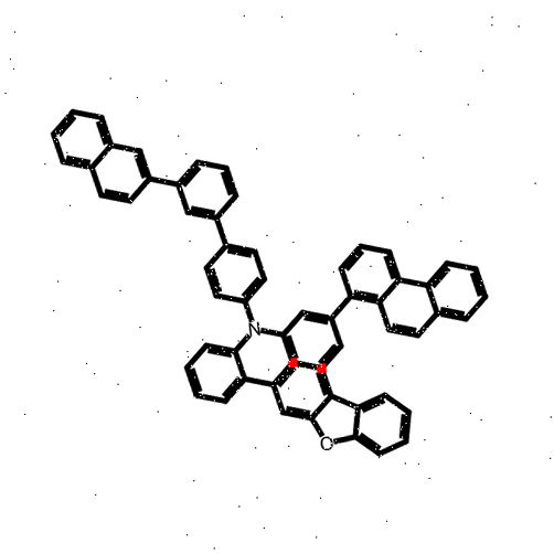 c1cc(-c2ccc(N(c3cccc(-c4cccc5c4ccc4ccccc45)c3)c3ccccc3-c3ccc4c(c3)oc3ccccc34)cc2)cc(-c2ccc3ccccc3c2)c1